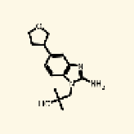 CC(C)(O)Cn1c(N)nc2cc(C3CCOC3)ccc21